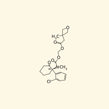 CN(C(=O)OCOC(=O)CC1(C)COC1)[C@@]1(c2ccccc2Cl)CCCCC1=O